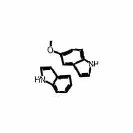 COc1ccc2[nH]ccc2c1.c1ccc2[nH]ccc2c1